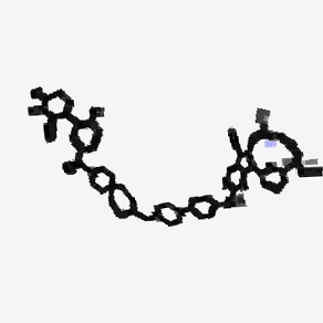 C[C@@]1(O)CC/C=C(/F)Cn2c(=O)c3cnc(Nc4ccc(N5CCN(CC6CCC7(CC6)CCN(C(=O)c6ccc(Cl)c(C8CCC(=O)NC8=O)c6)CC7)CC5)cc4)nc3n2-c2cccc1n2